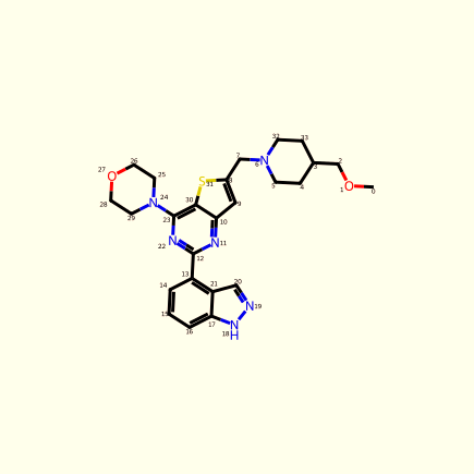 COCC1CCN(Cc2cc3nc(-c4cccc5[nH]ncc45)nc(N4CCOCC4)c3s2)CC1